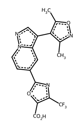 Cc1noc(C)c1-c1cnn2ccc(-c3nc(C(F)(F)F)c(C(=O)O)o3)cc12